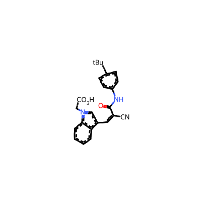 CC(C)(C)c1ccc(NC(=O)C(C#N)=Cc2cn(CC(=O)O)c3ccccc23)cc1